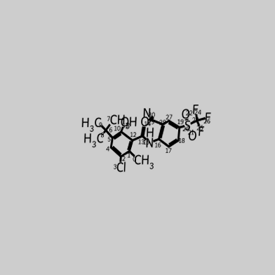 Cc1c(Cl)cc(C(C)(C)C)c(O)c1C(=O)Nc1ccc(S(=O)(=O)C(F)(F)F)cc1C#N